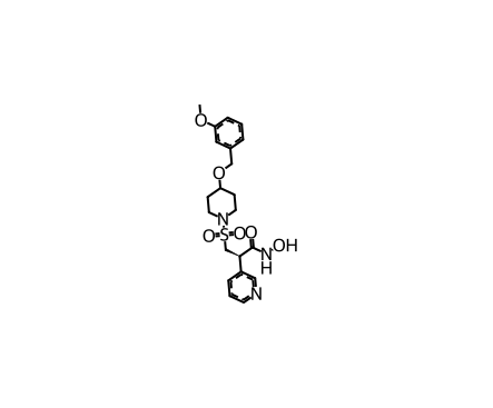 COc1cccc(COC2CCN(S(=O)(=O)C[C@@H](C(=O)NO)c3cccnc3)CC2)c1